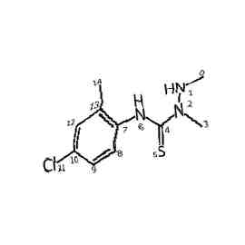 CNN(C)C(=S)Nc1ccc(Cl)cc1C